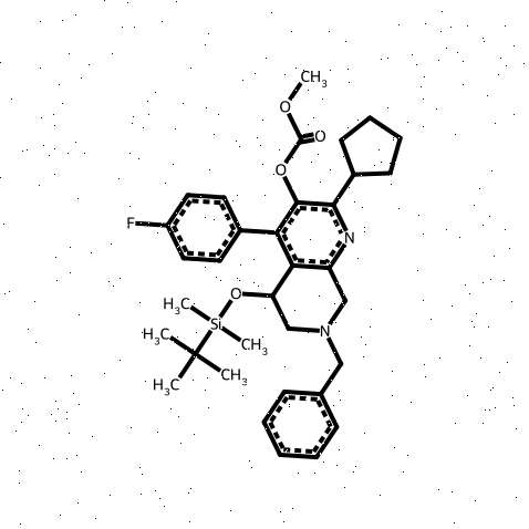 COC(=O)Oc1c(C2CCCC2)nc2c(c1-c1ccc(F)cc1)C(O[Si](C)(C)C(C)(C)C)CN(Cc1ccccc1)C2